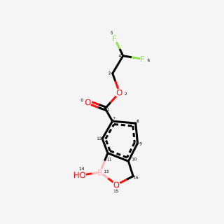 O=C(OCC(F)F)c1ccc2c(c1)B(O)OC2